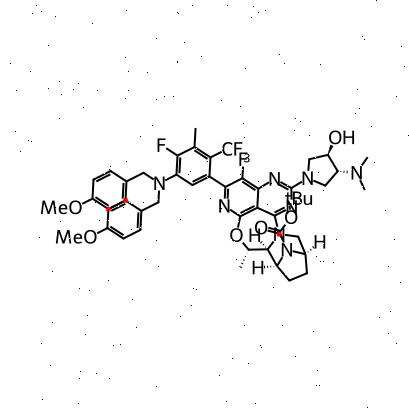 COc1ccc(CN(Cc2ccc(OC)cc2)c2cc(-c3nc4c5c(nc(N6C[C@@H](O)[C@H](N(C)C)C6)nc5c3F)N3C[C@H]5CC[C@@H]([C@H]3[C@H](C)O4)N5C(=O)OC(C)(C)C)c(C(F)(F)F)c(C)c2F)cc1